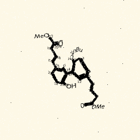 CCCCOc1ccc(CCCC(=O)OC)cc1-c1cc(CCCC(=O)OC)ccc1O